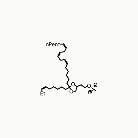 CC/C=C\CCCCCC1(CCCCC/C=C\C/C=C\C/C=C\CCCCC)OCC(CCOS(C)(=O)=O)O1